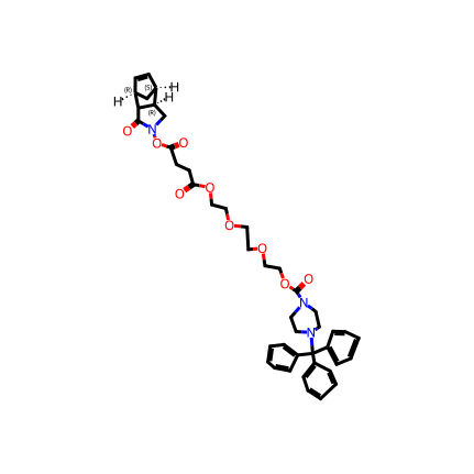 O=C(CCC(=O)ON1C[C@H]2C(C1=O)[C@H]1C=C[C@@H]2C1)OCCOCCOCCOC(=O)N1CCN(C(c2ccccc2)(c2ccccc2)c2ccccc2)CC1